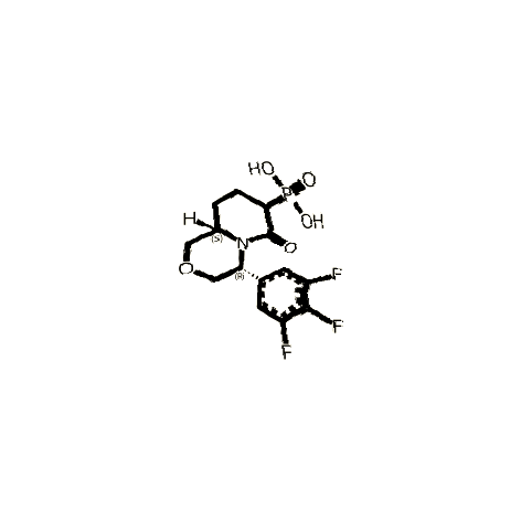 O=C1C(P(=O)(O)O)CC[C@H]2COC[C@@H](c3cc(F)c(F)c(F)c3)N12